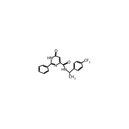 C[C@@H](NC(=O)c1cc(=O)[nH]c(-c2ccccc2)n1)c1ccc(C(F)(F)F)cc1